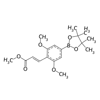 COC(=O)/C=C/c1c(OC)cc(B2OC(C)(C)C(C)(C)O2)cc1OC